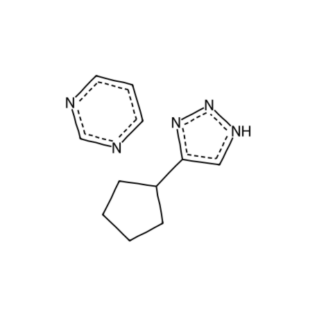 c1[nH]nnc1C1CCCC1.c1cncnc1